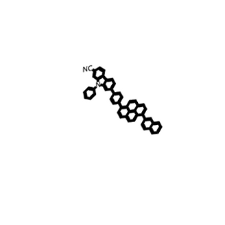 N#Cc1ccc2c3ccc(-c4ccc(-c5ccc6ccc7c(-c8ccc9ccccc9c8)ccc8ccc5c6c87)cc4)cc3n(-c3ccccc3)c2c1